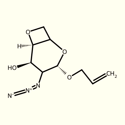 C=CCO[C@H]1OC2CO[C@@H]2[C@H](O)C1N=[N+]=[N-]